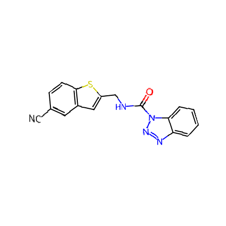 N#Cc1ccc2sc(CNC(=O)n3nnc4ccccc43)cc2c1